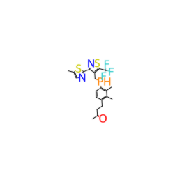 CC(=O)CCc1ccc(PCc2c(-c3ncc(C)s3)nsc2C(F)(F)F)c(C)c1C